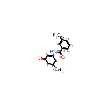 CC1CC(=O)C=C(NC(=O)c2cccc(C(F)(F)F)c2)C1